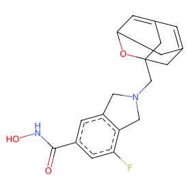 O=C(NO)c1cc(F)c2c(c1)CN(CC13CC4=CC(CC(=C4)C1)O3)C2